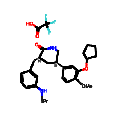 CCCNc1cccc(C[C@H]2C[C@@H](c3ccc(OC)c(OC4CCCC4)c3)CNC2=O)c1.O=C(O)C(F)(F)F